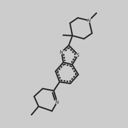 CC1CCC(c2ccc3sc(C4(C)CCN(C)CC4)nc3c2)=NC1